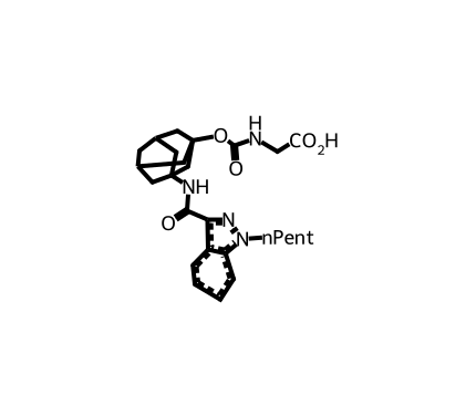 CCCCCn1nc(C(=O)NC23CC4CC(C2)CC(OC(=O)NCC(=O)O)(C4)C3)c2ccccc21